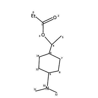 CCC(=O)OC(C)C1CCC(N(C)C)CC1